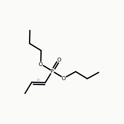 C/C=C/P(=O)(OCCC)OCCC